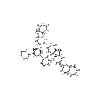 c1ccc(-c2nc(-c3cccc(-c4cc(-c5ccc6ccccc6c5)cc5oc6ccccc6c45)c3)nc(-c3ccc4c(c3)oc3ccccc34)n2)cc1